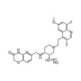 COc1cc(F)c2ncc(F)c(CCN3CC[C@H](NCc4ccc5c(n4)NC(=O)CO5)[C@H](O)C3)c2c1.Cl.Cl